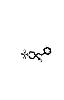 CS(=O)(=O)N1CCC(C#N)(CCc2ccccc2)CC1